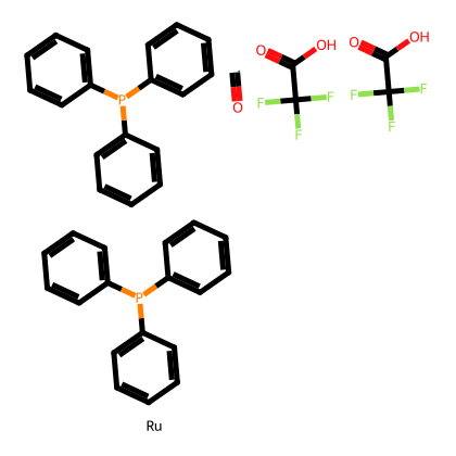 O=C(O)C(F)(F)F.O=C(O)C(F)(F)F.[C]=O.[Ru].c1ccc(P(c2ccccc2)c2ccccc2)cc1.c1ccc(P(c2ccccc2)c2ccccc2)cc1